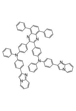 c1ccc(-c2ccc(-c3ccccc3)c3nc(-c4ccc(N(c5ccccc5)c5ccc(-c6cn7ccccc7n6)cc5)cc4)c(-c4ccc(N(c5ccccc5)c5ccc(-c6cn7ccccc7n6)cc5)cc4)nc23)cc1